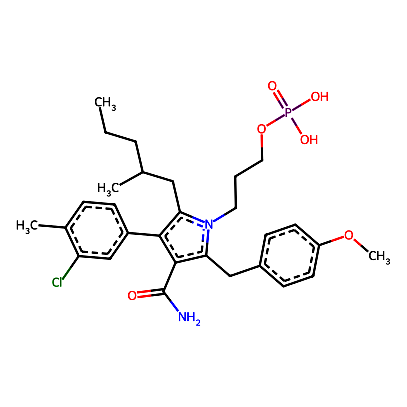 CCCC(C)Cc1c(-c2ccc(C)c(Cl)c2)c(C(N)=O)c(Cc2ccc(OC)cc2)n1CCCOP(=O)(O)O